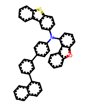 c1cc(-c2ccc(N(c3ccc4sc5ccccc5c4c3)c3cccc4oc5ccccc5c34)cc2)cc(-c2cccc3ccccc23)c1